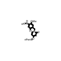 CCCCCOc1ccn(Cc2cc(OC)c(NCCC)cc2Cl)c(=O)c1